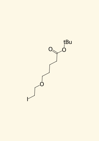 CC(C)(C)OC(=O)CCCCOCCI